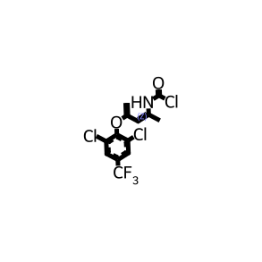 C=C(/C=C(/C)NC(=O)Cl)Oc1c(Cl)cc(C(F)(F)F)cc1Cl